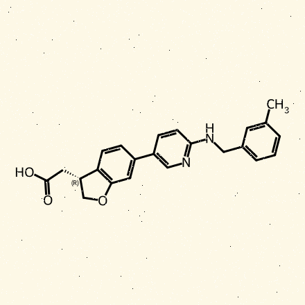 Cc1cccc(CNc2ccc(-c3ccc4c(c3)OC[C@@H]4CC(=O)O)cn2)c1